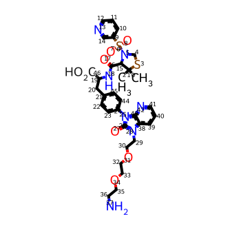 CC1(C)SCN(S(=O)(=O)c2cccnc2)C1C(=O)NC(Cc1ccc(-n2c(=O)n(CCOCCOCCN)c3cccnc32)cc1)C(=O)O